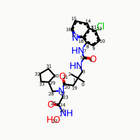 CC(C)(CNC(=O)Nc1ccc(Cl)c2cccnc12)CC(=O)N(CC(=O)NO)CC1CCCC1